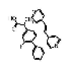 C(=Cc1ccncc1)c1ccncc1.CC(C(=O)O)c1ccc(-c2ccccc2)c(F)c1